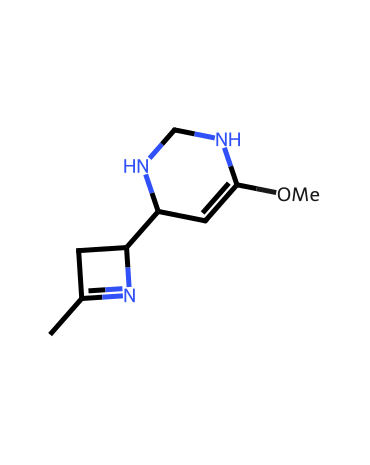 COC1=CC(C2CC(C)=N2)NCN1